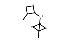 CC1CCC1SC12CC1(C)C2